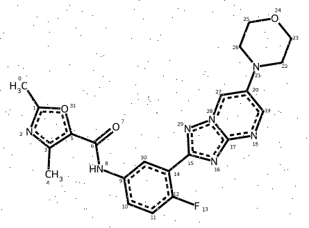 Cc1nc(C)c(C(=O)Nc2ccc(F)c(-c3nc4ncc(N5CCOCC5)cn4n3)c2)o1